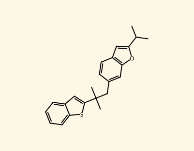 CC(C)c1cc2ccc(CC(C)(C)c3cc4ccccc4s3)cc2o1